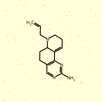 C=CCN1CCC=C2c3nc(N)ncc3CCC21